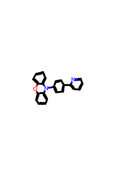 c1ccc(-c2ccc(N3c4ccccc4Oc4ccccc43)cc2)nc1